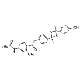 CCCCC(=O)Nc1ccc(C(=O)Oc2ccc(P3(=S)SP(=S)(c4ccc(O)cc4)S3)cc2)c(OC(C)=O)c1